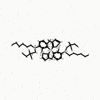 CCCCCCN(CC(C)(C)CC)c1ccc(F)[c]([Ti]([C]2=C(C)C=CC2)([C]2=C(C)C=CC2)[c]2c(F)ccc(N(CCCCCC)CC(C)(C)CC)c2F)c1F